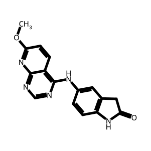 COc1ccc2c(Nc3ccc4c(c3)CC(=O)N4)ncnc2n1